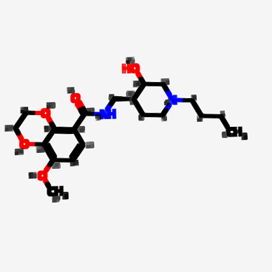 CCCCN1CC[C@@H](CNC(=O)c2ccc(OC)c3c2OCCO3)C(O)C1